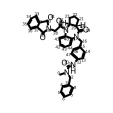 CN(Cc1ccccc1)C(=O)Nc1ccc(CN2C(=O)[C@H]3CCC[C@H]3N(C(=O)CN3C(=O)c4ccccc4C3=O)c3ccccc32)cc1